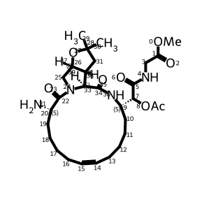 COC(=O)CNC(=O)C(OC(C)=O)[C@@H]1CCCCC=CCCCC[C@H](N)C(=O)N2C[C@@H]3OC(C)(C)C[C@@H]3[C@H]2C(=O)N1